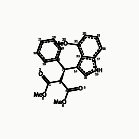 COC(=O)C(C(=O)OC)[C@@H](c1ccccc1)c1c[nH]c2cccc(OC)c12